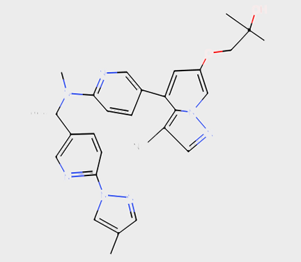 Cc1cnn(-c2ccc([C@H](C)N(C)c3ccc(-c4cc(OCC(C)(C)O)cn5ncc(C#N)c45)cn3)cn2)c1